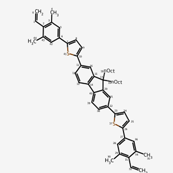 C=Cc1c(C)cc(-c2ccc(-c3ccc4c(c3)C(CCCCCCCC)(CCCCCCCC)c3cc(-c5ccc(-c6cc(C)c(C=C)c(C)c6)s5)ccc3-4)s2)cc1C